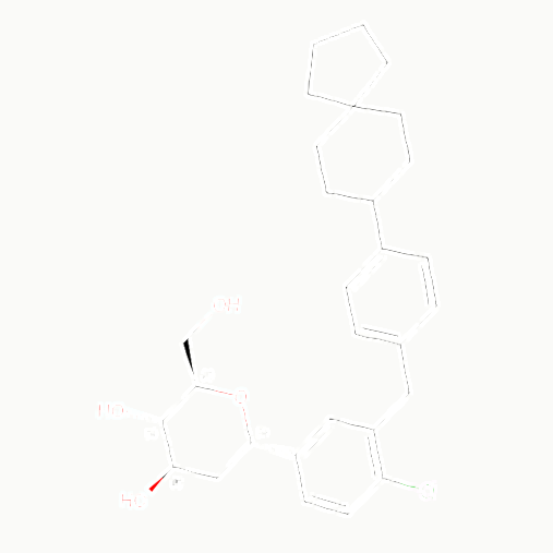 OC[C@H]1O[C@H](c2ccc(Cl)c(Cc3ccc(C4CCC5(CCCC5)CC4)cc3)c2)C[C@@H](O)[C@@H]1O